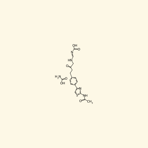 CC(=O)Nc1nc(-c2ccc(CCC(=O)CNC=NC(=O)O)cc2)cs1.NC(=O)O